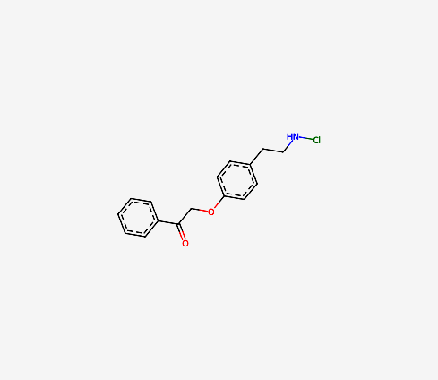 O=C(COc1ccc(CCNCl)cc1)c1ccccc1